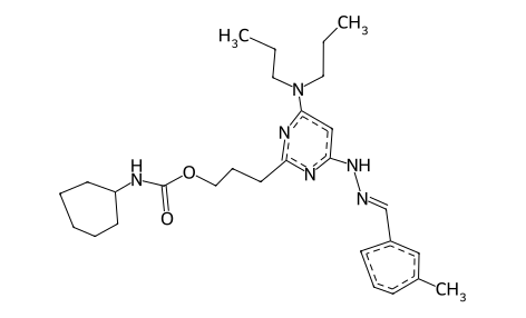 CCCN(CCC)c1cc(N/N=C/c2cccc(C)c2)nc(CCCOC(=O)NC2CCCCC2)n1